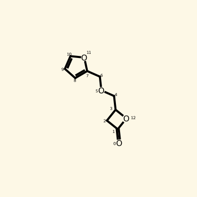 O=C1CC(COCc2ccco2)O1